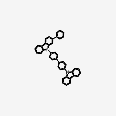 c1ccc(-c2ccc3c4ccccc4n(-c4ccc(-c5ccc(-n6c7ccccc7c7ccccc76)cc5)cc4)c3c2)cc1